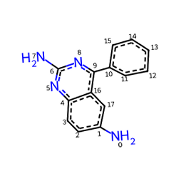 Nc1ccc2nc(N)nc(-c3ccccc3)c2c1